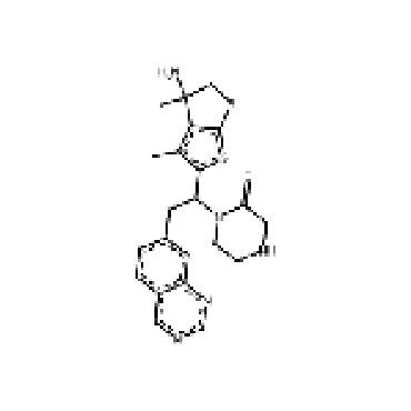 Cc1c(C(Cc2ccc3cncnc3c2)N2CCNCC2=O)sc2c1C(C)(N)CS2